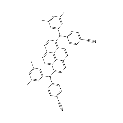 Cc1cc(C)cc(N(c2ccc(C#N)cc2)c2ccc3ccc4c(N(c5ccc(C#N)cc5)c5cc(C)cc(C)c5)ccc5ccc2c3c54)c1